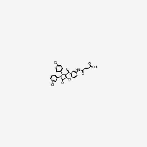 O=C(O)C=CC(=O)Nc1cccc(C(=O)C2=C(O)C(=O)N(c3cccc(Cl)c3)C2c2ccc(Cl)cc2)c1